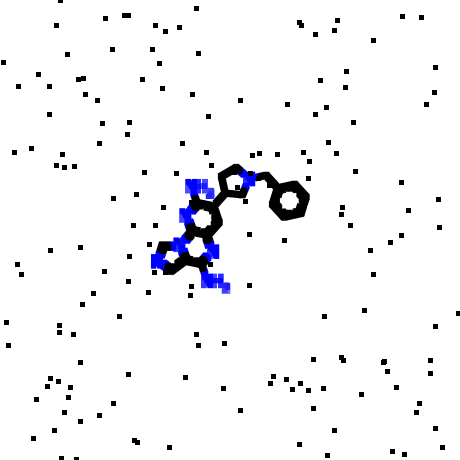 Nc1nc2c(cc1C1CCN(Cc3ccccc3)C1)nc(N)c1cncn12